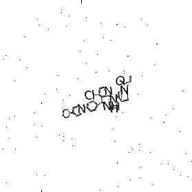 C=CC(=O)N1CCC[C@@H](Nc2nccc(Cl)c2C(=N)c2ccc(-n3ccc(=O)cc3)cc2)C1